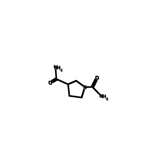 NC(=O)C1CCN(C(N)=O)C1